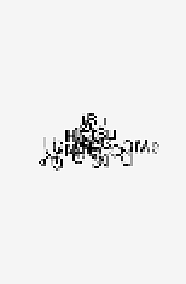 C=C(N[C@H](C(=O)N(CC1CC(c2cc(Cl)c(OC)cc2OC)=NO1)[C@@H](C)C(=O)NCC(=O)C(=O)NC1CC1)C(C)(C)C)OC(C)(C)C